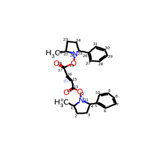 CC1CCC(c2ccccc2)N1OC(=O)/C=C/C(=O)ON1C(C)CCC1c1ccccc1